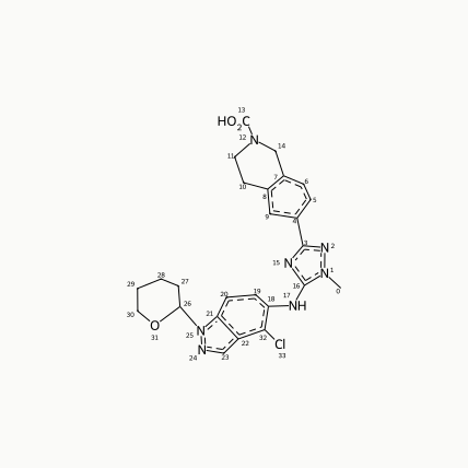 Cn1nc(-c2ccc3c(c2)CCN(C(=O)O)C3)nc1Nc1ccc2c(cnn2C2CCCCO2)c1Cl